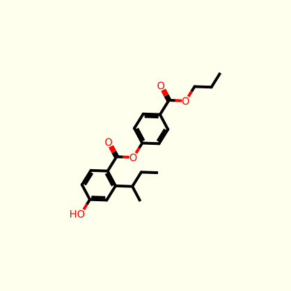 CCCOC(=O)c1ccc(OC(=O)c2ccc(O)cc2C(C)CC)cc1